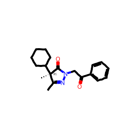 CC1=NN(CC(=O)c2ccccc2)C(=O)[C@]1(C)C1CCCCC1